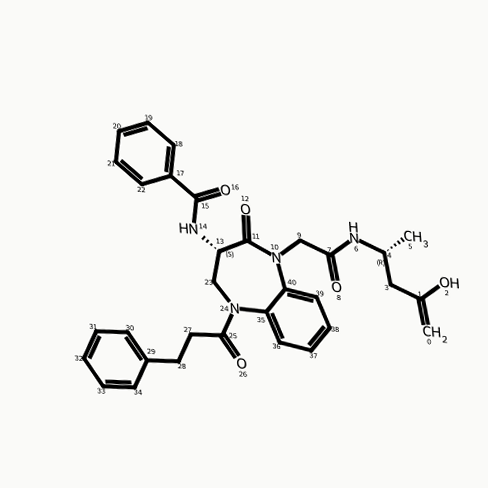 C=C(O)C[C@@H](C)NC(=O)CN1C(=O)[C@@H](NC(=O)c2ccccc2)CN(C(=O)CCc2ccccc2)c2ccccc21